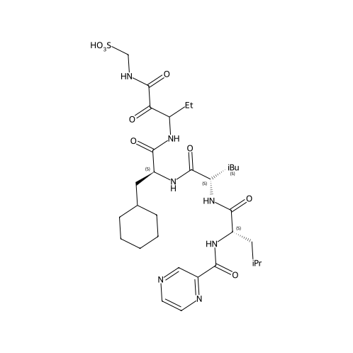 CCC(NC(=O)[C@H](CC1CCCCC1)NC(=O)[C@@H](NC(=O)[C@H](CC(C)C)NC(=O)c1cnccn1)[C@@H](C)CC)C(=O)C(=O)NCS(=O)(=O)O